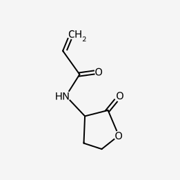 C=CC(=O)NC1CCOC1=O